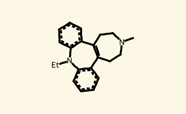 CCN1c2ccccc2C2=C(CCN(C)CC2)c2ccccc21